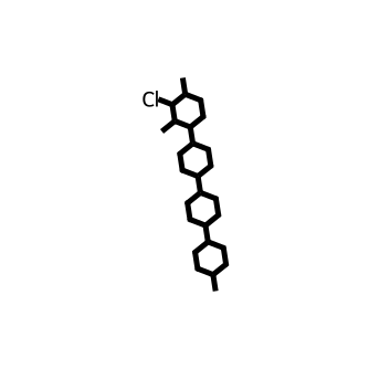 CC1CCC(C2CCC(C3CCC(C4CCC(C)C(Cl)C4C)CC3)CC2)CC1